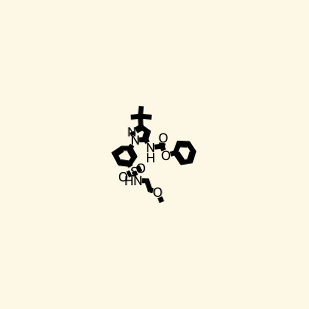 COCCNS(=O)(=O)c1cccc(-n2nc(C(C)(C)C)cc2NC(=O)Oc2ccccc2)c1